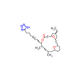 C/C=C1\CC2CC(=O)OC(/C=C/CCCCCc3nnn[nH]3)C(C)/C=C/C(C)CC3CCCC(CC(C1)O2)O3